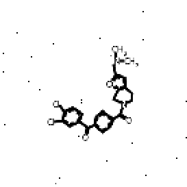 CN(C)Cc1cc2c(o1)CN(C(=O)c1ccc(C(=O)c3ccc(Cl)c(Cl)c3)cc1)CC2